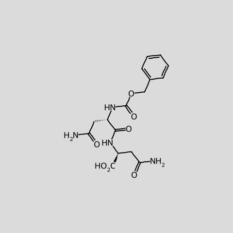 NC(=O)C[C@H](NC(=O)[C@H](CC(N)=O)NC(=O)OCc1ccccc1)C(=O)O